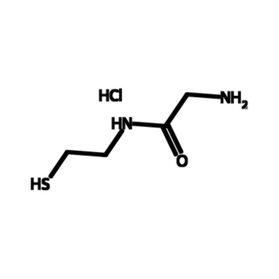 Cl.NCC(=O)NCCS